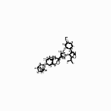 CC(C)c1onc(-c2ccc(F)cc2)c1-c1nc(C(=O)Nc2ccc(N3CC4CC(C3)N4C)cc2F)cs1